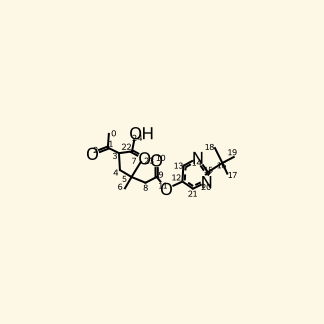 CC(=O)C(CC(C)(C)CC(=O)Oc1cnc(C(C)(C)C)nc1)C(=O)O